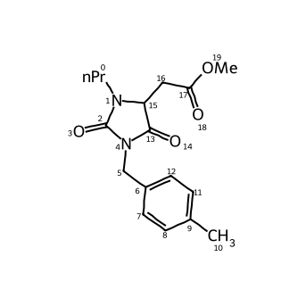 CCCN1C(=O)N(Cc2ccc(C)cc2)C(=O)C1CC(=O)OC